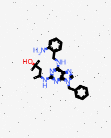 CC(CC(C)(C)O)Nc1nc(NCc2ccccc2N)c2ncn(Cc3ccccc3)c2n1